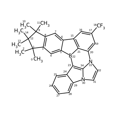 CC1(C)c2cc3c(cc2C(C)(C)C1(C)C)-c1cc(C(F)(F)F)cc2c1B3c1c3ccccc3n3ccn-2c13